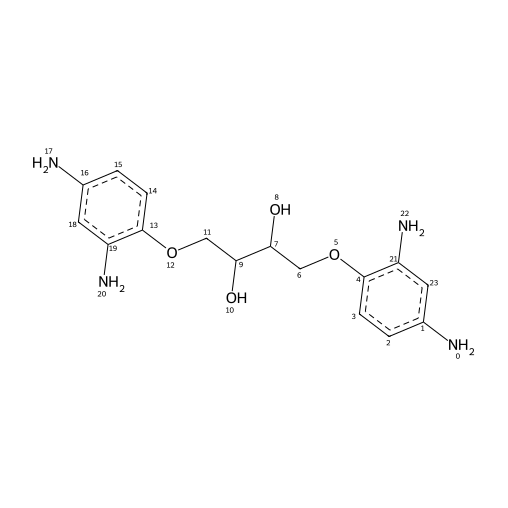 Nc1ccc(OCC(O)C(O)COc2ccc(N)cc2N)c(N)c1